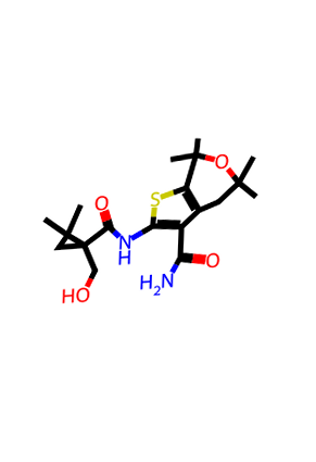 CC1(C)Cc2c(sc(NC(=O)C3(CO)CC3(C)C)c2C(N)=O)C(C)(C)O1